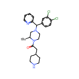 CC(C)(C)C1CN(C(c2ccc(Cl)c(Cl)c2)c2ccccn2)CCN1C(=O)CC1CCNCC1